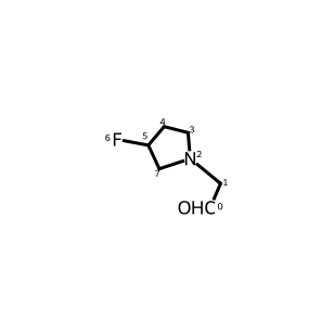 O=CCN1CCC(F)C1